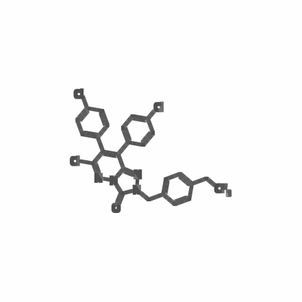 O=c1n(Cc2ccc(CC(F)(F)F)cc2)nc2c(-c3ccc(Cl)cc3)c(-c3ccc(Cl)cc3)c(Cl)nn12